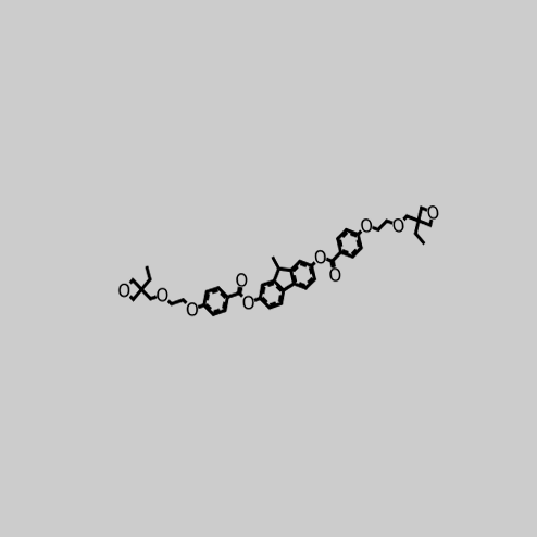 CCC1(COCCOc2ccc(C(=O)Oc3ccc4c(c3)C(C)c3cc(OC(=O)c5ccc(OCCOCC6(CC)COC6)cc5)ccc3-4)cc2)COC1